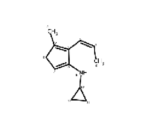 C/C=C\C1=C(C)CC=C1NC1CC1